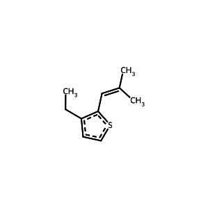 CCc1ccsc1C=C(C)C